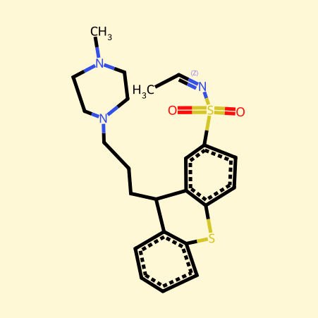 C/C=N\S(=O)(=O)c1ccc2c(c1)C(CCCN1CCN(C)CC1)c1ccccc1S2